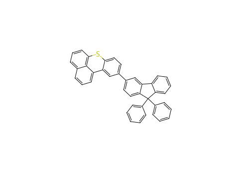 c1ccc(C2(c3ccccc3)c3ccccc3-c3cc(-c4ccc5c(c4)-c4cccc6cccc(c46)S5)ccc32)cc1